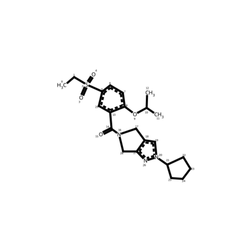 CCS(=O)(=O)c1ccc(OC(C)C)c(C(=O)N2Cc3cn(C4CCCC4)nc3C2)c1